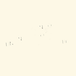 CN(c1ccc(N2CCNCC2)c2ccccc12)S(=O)(=O)c1ccc(Br)cc1